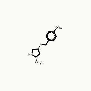 CCOC(=O)[C@@H]1C[C@H](SCc2ccc(OC)cc2)CN1